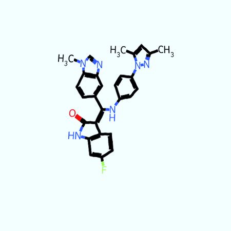 Cc1cc(C)n(-c2ccc(NC(=C3C(=O)Nc4cc(F)ccc43)c3ccc4c(c3)ncn4C)cc2)n1